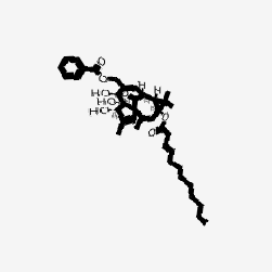 CCCCCCCCCCCC(=O)O[C@@]12CC(C)C34C=C(C)[C@H](O)[C@@]3(O)[C@H](O)C(COC(=O)c3ccccc3)=C[C@H](C4=O)[C@@H]1C2(C)C